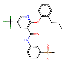 CCCc1ccccc1Oc1ncc(C(F)(F)F)cc1C(=O)Nc1cccc(S(C)(=O)=O)c1